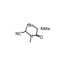 CN[C@H](C(=O)N(C)C(C)C#N)C(C)(C)C